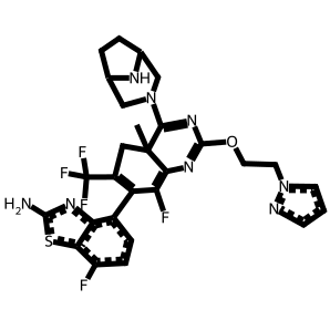 CC12CC(C(F)(F)F)=C(c3ccc(F)c4sc(N)nc34)C(F)=C1N=C(OCCn1cccn1)N=C2N1CC2CCC(C1)N2